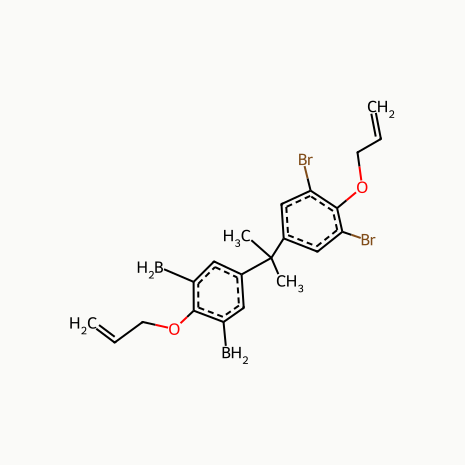 Bc1cc(C(C)(C)c2cc(Br)c(OCC=C)c(Br)c2)cc(B)c1OCC=C